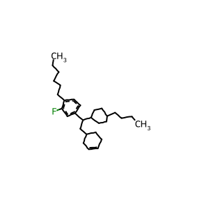 CCCCCCc1ccc(C(CC2CC=CCC2)C2CCC(CCCC)CC2)cc1F